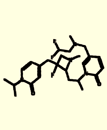 CC(C)n1ccc(CC2(F)CN(C)C2CC(C)n2cc(CN(C)CC(F)F)ccc2=O)cc1=O